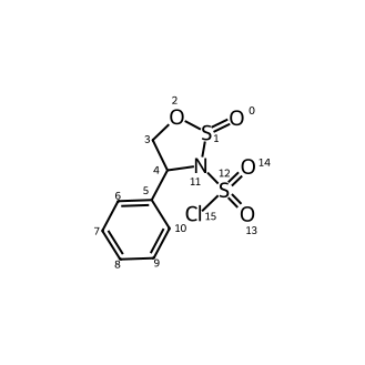 O=S1OCC(c2ccccc2)N1S(=O)(=O)Cl